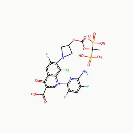 CC(OC(=O)OC1CN(c2c(F)cc3c(=O)c(C(=O)O)cn(-c4nc(N)c(F)cc4F)c3c2Cl)C1)(P(=O)(O)O)P(=O)(O)O